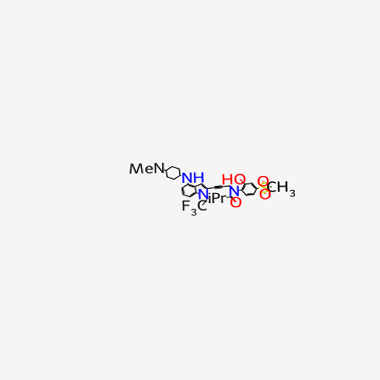 CN[C@H]1CC[C@H](Nc2cccc3c2cc(C#CCN(C(=O)C(C)C)c2ccc(S(C)(=O)=O)cc2O)n3CC(F)(F)F)CC1